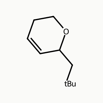 CC(C)(C)CC1C=CCCO1